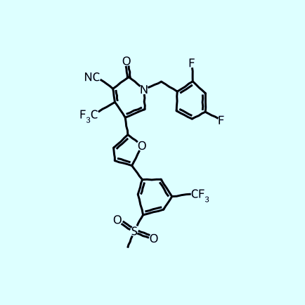 CS(=O)(=O)c1cc(-c2ccc(-c3cn(Cc4ccc(F)cc4F)c(=O)c(C#N)c3C(F)(F)F)o2)cc(C(F)(F)F)c1